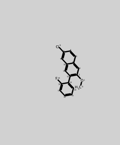 COc1cc2ccc(Cl)cc2cc1-c1ccccc1F